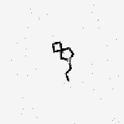 CCCN1CCC2(CCC2)C1